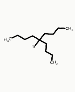 CCCC[C]([Ti])(CCCC)CCCC